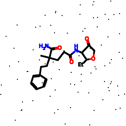 CCC1OCC(=O)C1NC(=O)[CH]CC(C)(CCc1ccccc1)C(N)=O